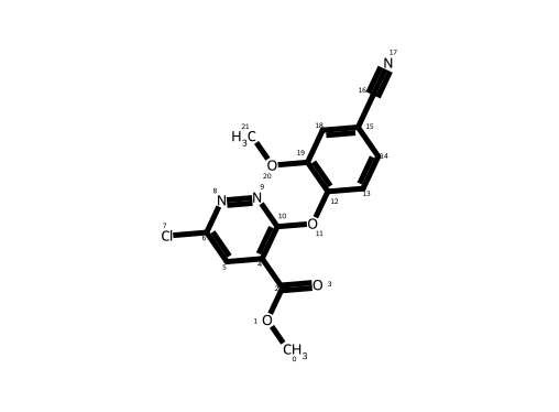 COC(=O)c1cc(Cl)nnc1Oc1ccc(C#N)cc1OC